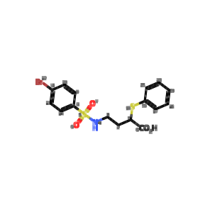 O=C(O)C(CCNS(=O)(=O)c1ccc(Br)cc1)Sc1ccccc1